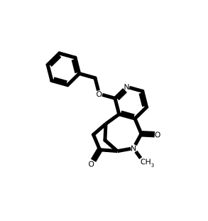 CN1C(=O)c2ccnc(OCc3ccccc3)c2C2CC(=O)C1C2